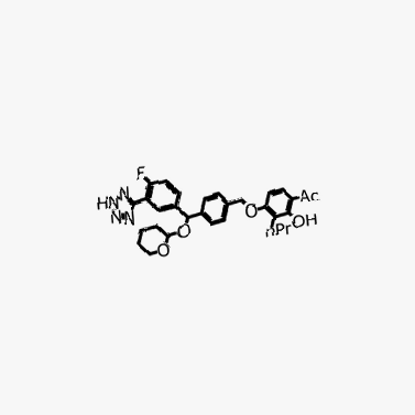 CCCc1c(OCc2ccc(C(OC3CCCCO3)c3ccc(F)c(-c4nn[nH]n4)c3)cc2)ccc(C(C)=O)c1O